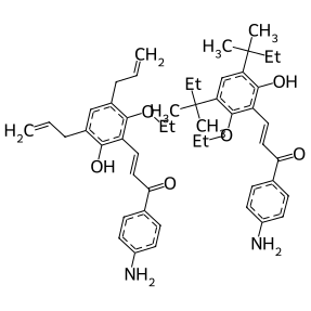 C=CCc1cc(CC=C)c(OCC)c(C=CC(=O)c2ccc(N)cc2)c1O.CCOc1c(C(C)(C)CC)cc(C(C)(C)CC)c(O)c1C=CC(=O)c1ccc(N)cc1